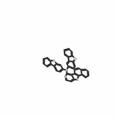 c1ccc2c(c1)ccc1c2sc2ccnc(N(c3ccc4c(c3)oc3ccccc34)c3ccc4oc5ccccc5c4c3)c21